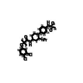 CCCC1CC(NC(=O)C(C)(C)Oc2ccc(Cl)c(Cl)c2)CCN1c1ccc(NS(C)(=O)=O)cc1